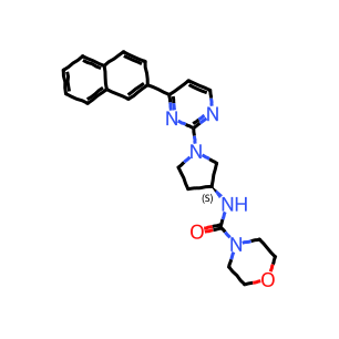 O=C(N[C@H]1CCN(c2nccc(-c3ccc4ccccc4c3)n2)C1)N1CCOCC1